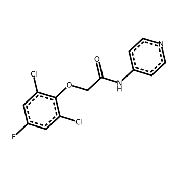 O=C(COc1c(Cl)cc(F)cc1Cl)Nc1ccncc1